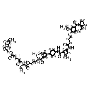 CCC(CO)OC(COC(=O)NCCC(=O)N[C@@H](C)C(=O)OCCCNC(=O)c1cc(-c2ccc(NC(=O)c3nc(NC(=O)CCCOc4cc5c(cc4OC)C(=O)N4CCC[C@H]4C=N5)cn3C)cc2)cn1C)OC